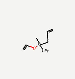 C=CC[Si](C)(CCC)OC=C